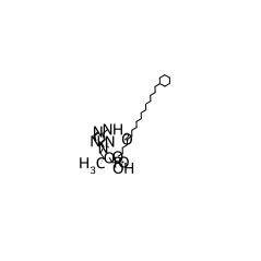 C[C@H](Cn1cnc2c(N)ncnc21)OCP(=O)(O)OCCCOCCCCCCCCCCCCC1CCCCC1